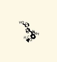 CC1(Oc2ccc3[nH]nc(-c4cc(N5CCOC(CO)C5)ncn4)c3c2)CC1